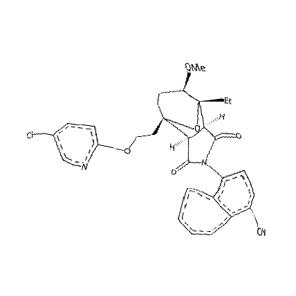 CC[C@@]12O[C@@](CCOc3ccc(Cl)cn3)(C[C@H]1OC)[C@@H]1C(=O)N(c3ccc(C#N)c4ccccc34)C(=O)[C@@H]12